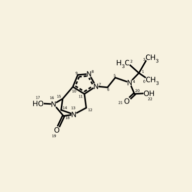 CC(C)(C)N(CCn1ncc2c1CN1CC2N(O)C1=O)C(=O)O